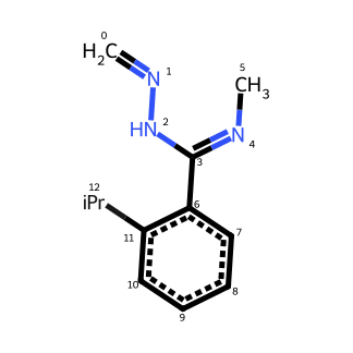 C=NN/C(=N\C)c1ccccc1C(C)C